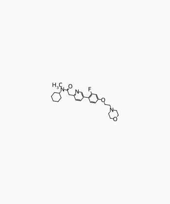 CN(C(=O)Cc1ccc(-c2ccc(OCCN3CCOCC3)cc2F)cn1)C1CCCCC1